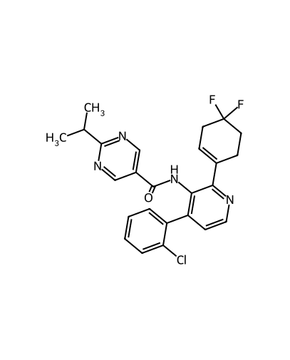 CC(C)c1ncc(C(=O)Nc2c(-c3ccccc3Cl)ccnc2C2=CCC(F)(F)CC2)cn1